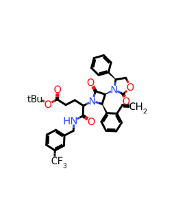 C=Cc1ccccc1[C@@H]1[C@H](N2C(=O)OC[C@@H]2c2ccccc2)C(=O)N1C(CCC(=O)OC(C)(C)C)C(=O)NCc1cccc(C(F)(F)F)c1